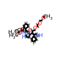 COCCOCCOCCC(c1c[nH]c2cc(F)ccc12)C1CCCN1C(=O)C(NC(=O)OC(C)(C)C)C1CCCCC1